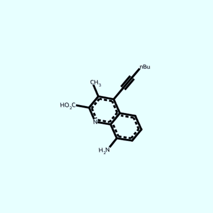 CCCCC#Cc1c(C)c(C(=O)O)nc2c(N)cccc12